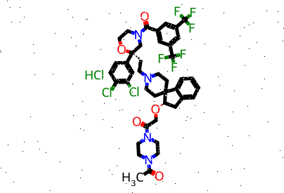 CC(=O)N1CCN(C(=O)CO[C@H]2Cc3ccccc3C23CCN(CC[C@@]2(c4ccc(Cl)c(Cl)c4)CN(C(=O)c4cc(C(F)(F)F)cc(C(F)(F)F)c4)CCO2)CC3)CC1.Cl